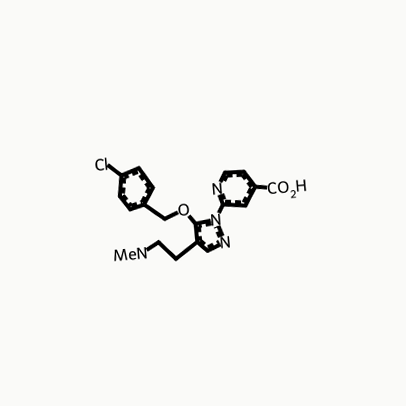 CNCCc1cnn(-c2cc(C(=O)O)ccn2)c1OCc1ccc(Cl)cc1